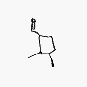 C[C@@H]1CCC(C=O)N1C